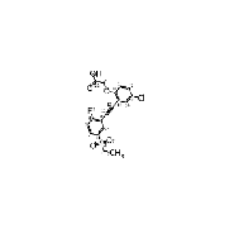 CCS(=O)(=O)c1ccc(F)c(C#Cc2cc(Cl)ccc2OCC(=O)O)c1